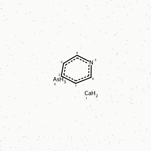 [AsH3].[CaH2].c1ccncc1